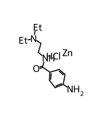 CCN(CC)CCNC(=O)c1ccc(N)cc1.Cl.[Zn]